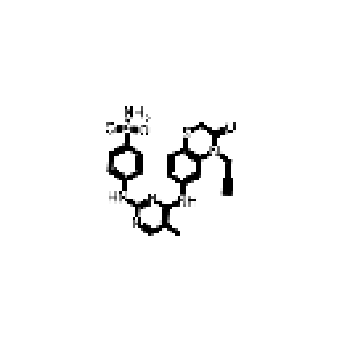 C#CCN1C(=O)CSc2ccc(Nc3nc(Nc4ccc(S(N)(=O)=O)cc4)ncc3C)cc21